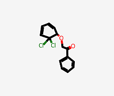 O=C(COC1C=CC=CC1(Cl)Cl)c1ccccc1